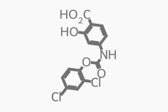 O=C(Nc1ccc(C(=O)O)c(O)c1)Oc1ccc(Cl)cc1Cl